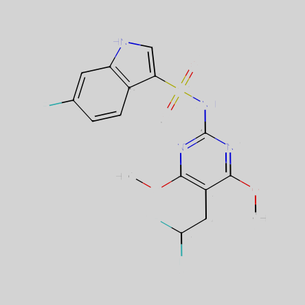 COc1nc(NS(=O)(=O)c2c[nH]c3cc(F)ccc23)nc(OC)c1CC(F)F